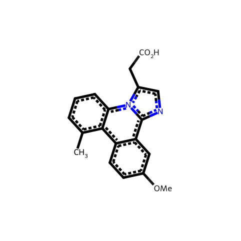 COc1ccc2c(c1)c1ncc(CC(=O)O)n1c1cccc(C)c21